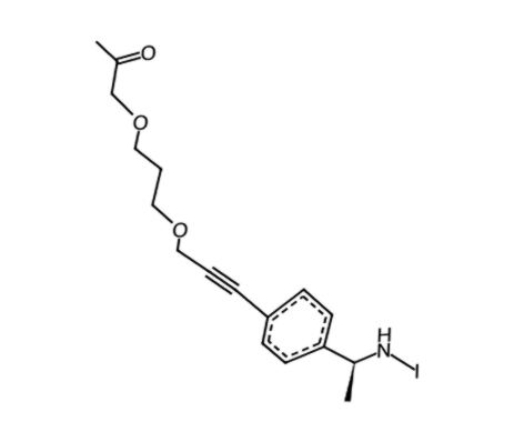 CC(=O)COCCCOCC#Cc1ccc([C@H](C)NI)cc1